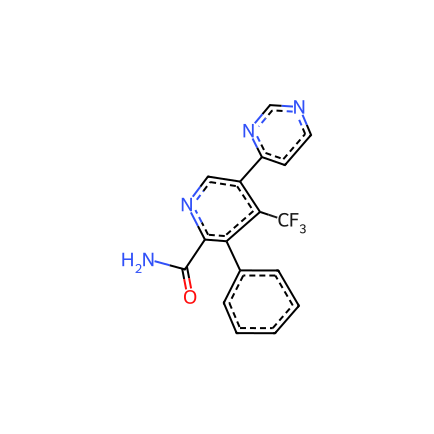 NC(=O)c1ncc(-c2ccncn2)c(C(F)(F)F)c1-c1ccccc1